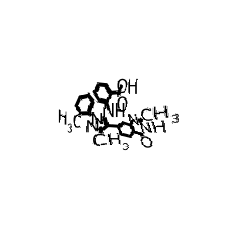 Cc1nc2cc(-c3c(C)nn(-c4ccccc4C)c3Nc3ccccc3C(=O)O)ccc2c(=O)[nH]1